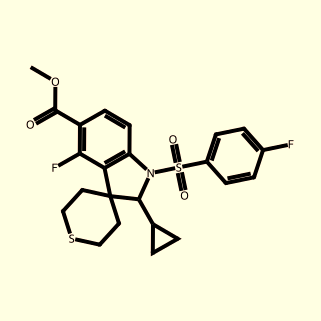 COC(=O)c1ccc2c(c1F)C1(CCSCC1)C(C1CC1)N2S(=O)(=O)c1ccc(F)cc1